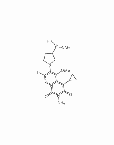 CN[C@@H](C)C1CCN(c2c(F)cn3c(=O)n(N)c(=O)c(C4CC4)c3c2OC)C1